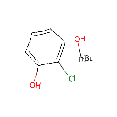 CCCCO.Oc1ccccc1Cl